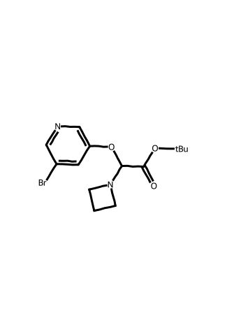 CC(C)(C)OC(=O)C(Oc1cncc(Br)c1)N1CCC1